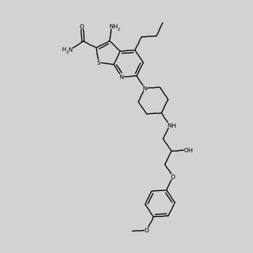 CCCc1cc(N2CCC(NCC(O)COc3ccc(OC)cc3)CC2)nc2sc(C(N)=O)c(N)c12